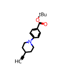 C#CC1CCN(c2ccc(C(=O)OC(C)(C)C)cc2)CC1